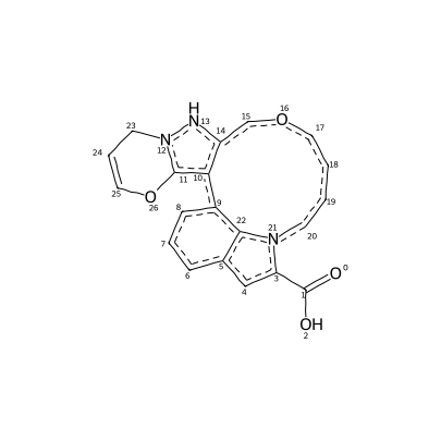 O=C(O)c1cc2cccc3c4c5n([nH]c4coccccn1c23)CC=CO5